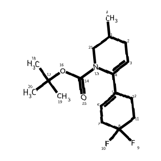 CC1CC=C(C2=CCC(F)(F)CC2)N(C(=O)OC(C)(C)C)C1